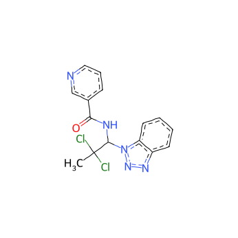 CC(Cl)(Cl)C(NC(=O)c1cccnc1)n1nnc2ccccc21